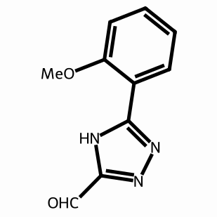 COc1ccccc1-c1nnc(C=O)[nH]1